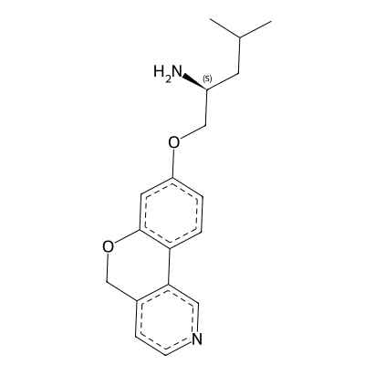 CC(C)C[C@H](N)COc1ccc2c(c1)OCc1ccncc1-2